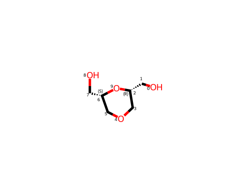 OC[C@@H]1COC[C@H](CO)O1